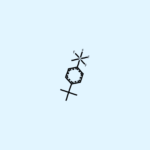 CC(C)(C)c1ccc(S(C)(F)(F)(F)F)cc1